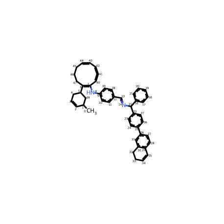 CC1C=CCC(/C2=C(\Nc3ccc(/C=N/C(c4ccccc4)c4ccc(-c5ccc6c(c5)CCC=C6)cc4)cc3)C=C=C/C=C\CCC2)C1